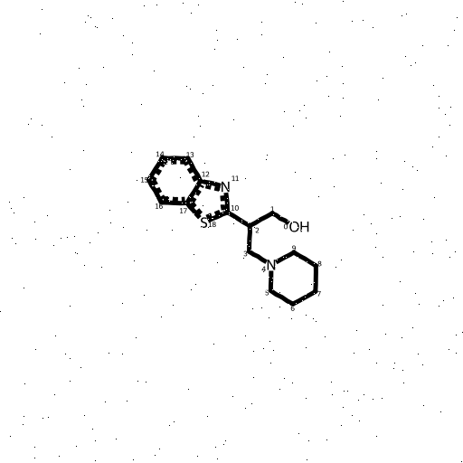 OCC(CN1CCCCC1)c1nc2ccccc2s1